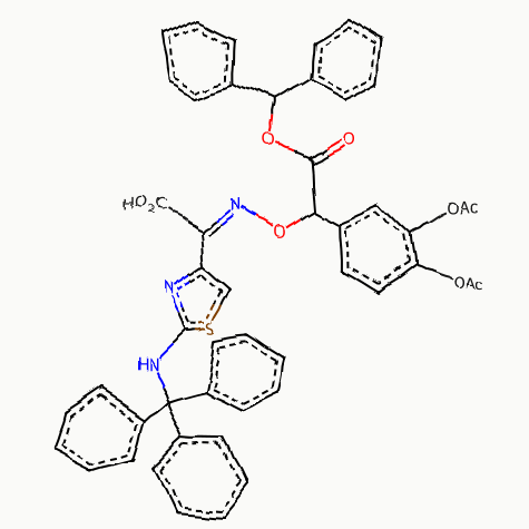 CC(=O)Oc1ccc(C(O/N=C(/C(=O)O)c2csc(NC(c3ccccc3)(c3ccccc3)c3ccccc3)n2)C(=O)OC(c2ccccc2)c2ccccc2)cc1OC(C)=O